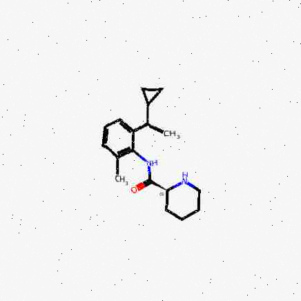 Cc1cccc(C(C)C2CC2)c1NC(=O)[C@@H]1CCCCN1